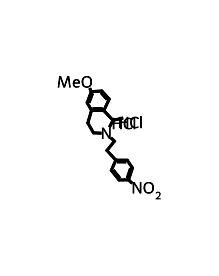 COc1ccc2c(c1)CCN(CCc1ccc([N+](=O)[O-])cc1)C2C.Cl.Cl